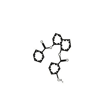 Cc1cccc(C(=O)Oc2cccc3cccc(OC(=O)c4ccccc4)c23)c1